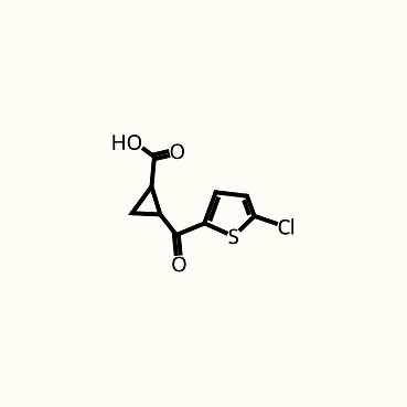 O=C(O)C1CC1C(=O)c1ccc(Cl)s1